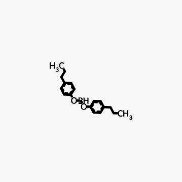 CCCc1ccc(OBOc2ccc(CCC)cc2)cc1